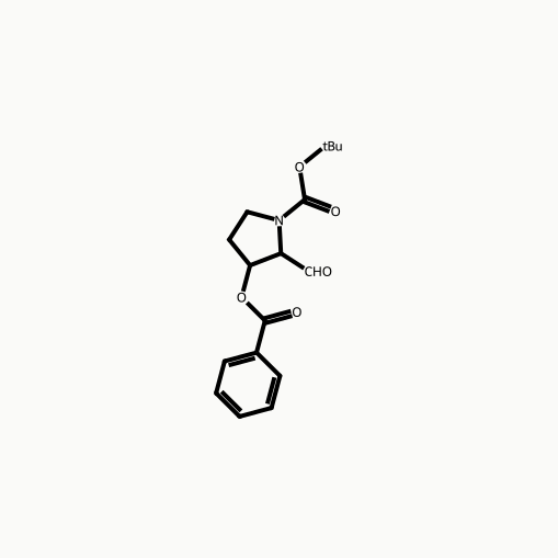 CC(C)(C)OC(=O)N1CCC(OC(=O)c2ccccc2)C1C=O